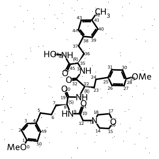 COc1ccc(CCC[C@H](NC(=O)CN2CCOCC2)C(=O)N[C@H](CCc2ccc(OC)cc2)C(=O)N[C@H](CCc2ccc(C)cc2)C(=O)NO)cc1